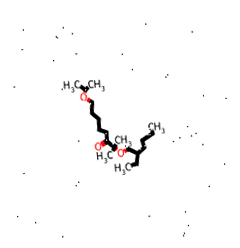 CCCCC(CC)COC(C)(C)C(=O)CCCCCOC(C)C